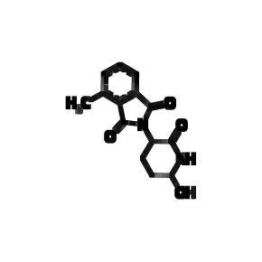 Cc1cccc2c1C(=O)N(C1CCC(O)NC1=O)C2=O